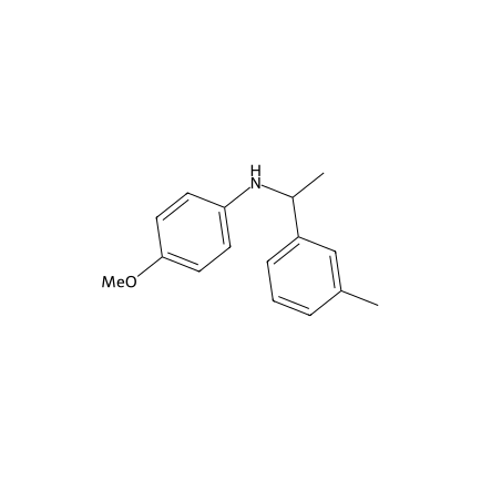 COc1ccc(NC(C)c2cccc(C)c2)cc1